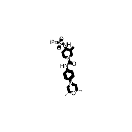 CC1CN(C(=O)Nc2ccc(N3C[C@@H](C)O[C@@H](C)C3)cc2)CCC1NS(=O)(=O)C(C)C